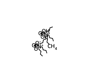 C.CCCC[N+](CCCC)(CCCC)P(=O)(O)O.CCCC[N+](CCCC)(CCCC)P(=O)([O-])[O-]